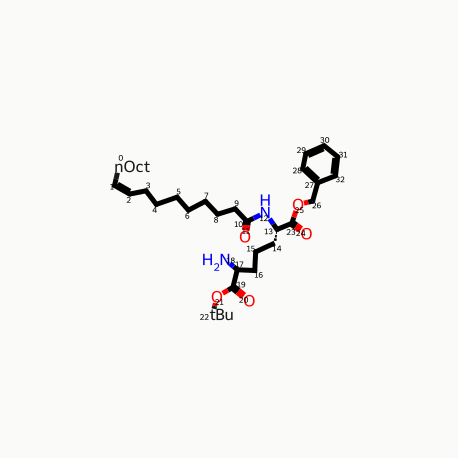 CCCCCCCC/C=C\CCCCCCCC(=O)N[C@@H](CCCC(N)C(=O)OC(C)(C)C)C(=O)OCc1ccccc1